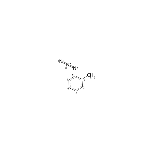 Cc1ccccc1N=[N+]=[N-]